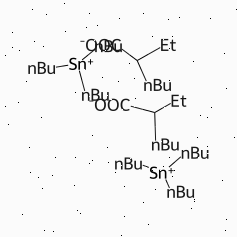 CCCCC(CC)C(=O)[O-].CCCCC(CC)C(=O)[O-].CCC[CH2][Sn+]([CH2]CCC)[CH2]CCC.CCC[CH2][Sn+]([CH2]CCC)[CH2]CCC